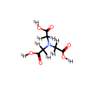 [2H]OC(=O)C([2H])([2H])N(C([2H])([2H])C(=O)O[2H])C([2H])([2H])C(=O)O[2H]